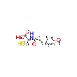 COc1ccc(C=CC(=O)N[C@@H](CS)C(=O)O)cc1